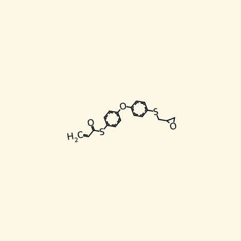 C=CC(=O)Sc1ccc(Oc2ccc(SCC3CO3)cc2)cc1